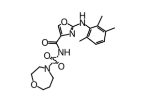 Cc1ccc(C)c(Nc2nc(C(=O)NS(=O)(=O)N3CCCOCC3)co2)c1C